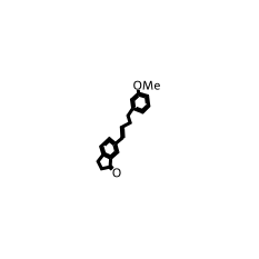 COc1cccc(CC/C=C/c2ccc3c(c2)C(=O)CC3)c1